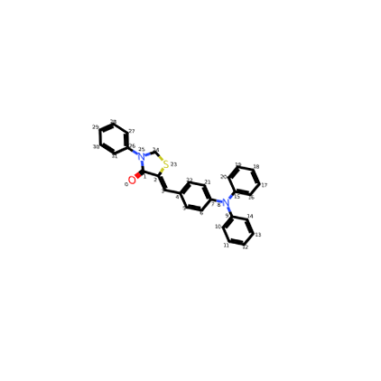 O=C1C(=Cc2ccc(N(c3ccccc3)c3ccccc3)cc2)SCN1c1ccccc1